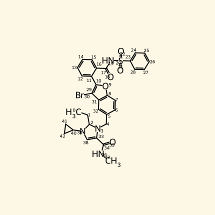 CCC1N(Cc2ccc3oc(-c4ccccc4C(=O)NS(=O)(=O)c4ccccc4)c(Br)c3c2)C(C(=O)NC)=CN1C1CC1